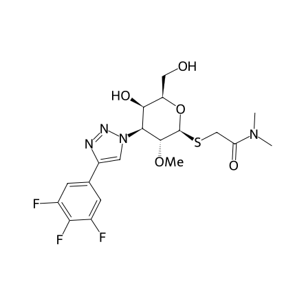 CO[C@@H]1[C@@H](n2cc(-c3cc(F)c(F)c(F)c3)nn2)[C@@H](O)[C@@H](CO)O[C@H]1SCC(=O)N(C)C